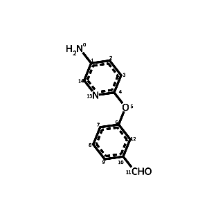 Nc1ccc(Oc2cccc(C=O)c2)nc1